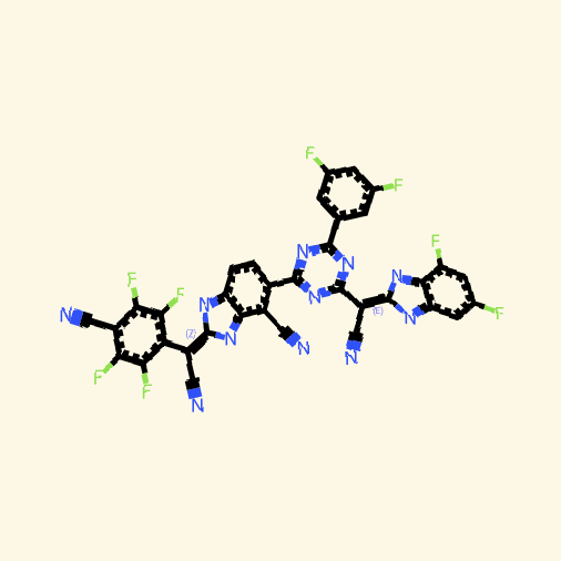 N#C/C(=C1/N=c2ccc(-c3nc(/C(C#N)=C4/N=c5cc(F)cc(F)c5=N4)nc(-c4cc(F)cc(F)c4)n3)c(C#N)c2=N1)c1c(F)c(F)c(C#N)c(F)c1F